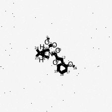 COC(=O)[C@@H]1[C@@H]2[C@H](CN1C(=O)c1cc3c(OC)cccc3o1)C2(C)C